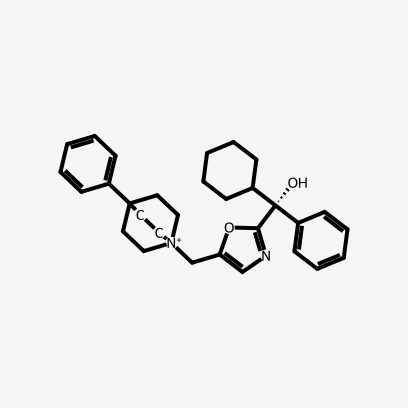 O[C@](c1ccccc1)(c1ncc(C[N+]23CCC(c4ccccc4)(CC2)CC3)o1)C1CCCCC1